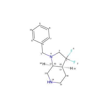 FC1(F)CN(Cc2ccccc2)[C@@H]2CNCC[C@@H]21